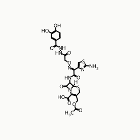 CC(=O)OCC1=C(C(=O)O)N2C(=O)C(NC(=O)C(=NOCC(=O)NNC(=O)c3ccc(O)c(O)c3)c3csc(N)n3)[C@@H]2SC1